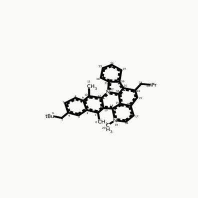 Cc1c2cc(CC(C)(C)C)ccc2c(C)c2c1c1c3c(cc[n+]1C)cc(CC(C)C)c1c4ccccc4n2c13